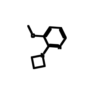 COc1cccnc1N1CCC1